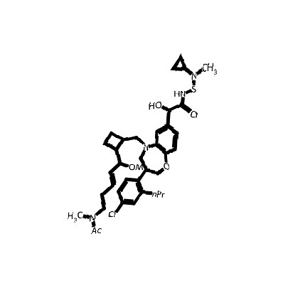 CCCc1cc(Cl)ccc1C1COc2ccc(C(O)C(=O)NSN(C)C3CC3)cc2N(CC2CCC2C(/C=C/CCN(C)C(C)=O)OC)C1